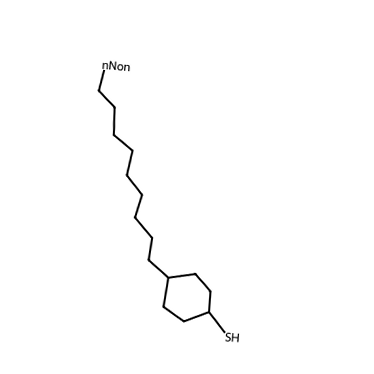 CCCCCCCCCCCCCCCCCCC1CCC(S)CC1